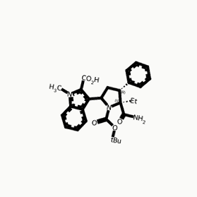 CC[C@@]1(C(N)=O)[C@@H](c2ccccc2)CC(c2c(C(=O)O)n(C)c3ccccc23)N1C(=O)OC(C)(C)C